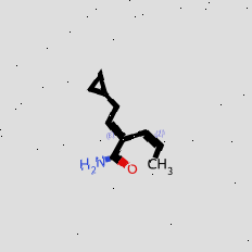 C/C=C\C(=C/CC1CC1)C(N)=O